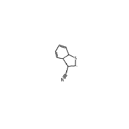 N#CC1[C]SC2C=CC=CC12